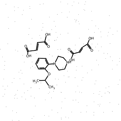 CC(C)Oc1ccccc1N1CCNCC1.O=C(O)C=CC(=O)O.O=C(O)C=CC(=O)O